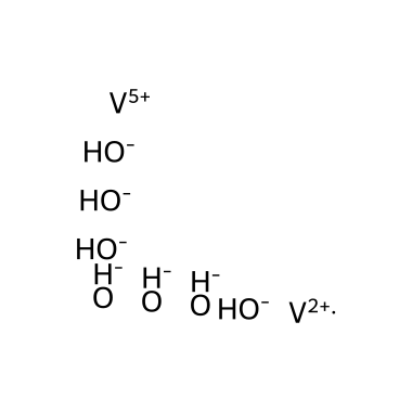 [OH-].[OH-].[OH-].[OH-].[OH-].[OH-].[OH-].[V+2].[V+5]